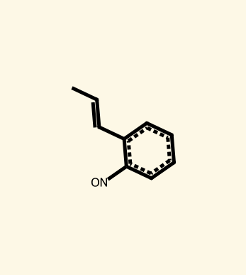 C/C=C/c1ccccc1N=O